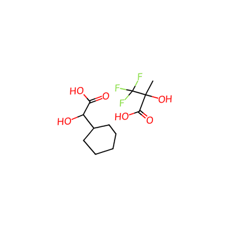 CC(O)(C(=O)O)C(F)(F)F.O=C(O)C(O)C1CCCCC1